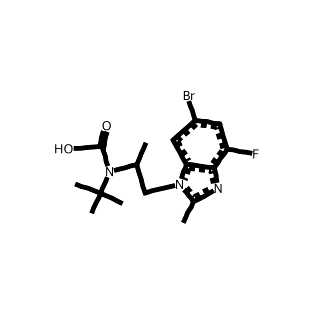 Cc1nc2c(F)cc(Br)cc2n1CC(C)N(C(=O)O)C(C)(C)C